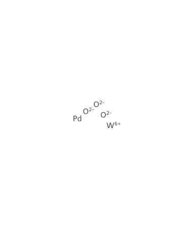 [O-2].[O-2].[O-2].[Pd].[W+6]